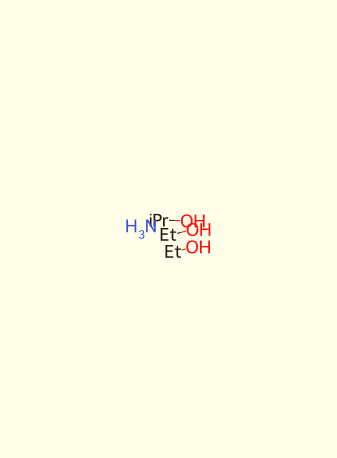 CC(C)O.CCO.CCO.N